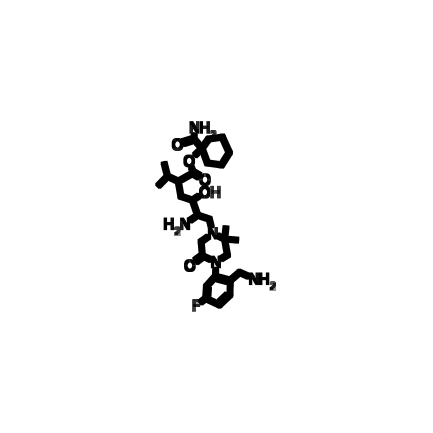 CC(C)C(CC(O)C(N)CN1CC(=O)N(c2cc(F)ccc2CN)CC1(C)C)C(=O)OC1(C(N)=O)CCCCC1